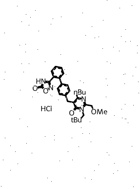 CCCCc1nc(COC)n(CC(C)(C)C)c(=O)c1Cc1ccc(-c2ccccc2-c2noc(=O)[nH]2)cc1.Cl